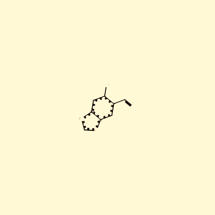 O=Cc1cc2nc[nH]c2cc1O